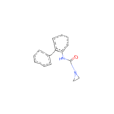 O=C(Nc1ccccc1-c1ccccc1)N1CC1